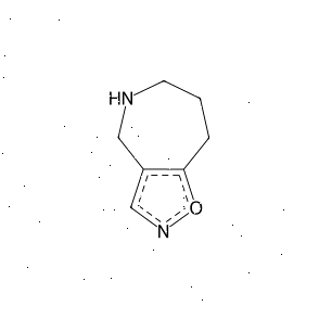 c1noc2c1CNCCC2